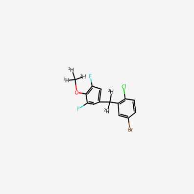 [2H]C([2H])([2H])Oc1c(F)cc(C([2H])([2H])c2cc(Br)ccc2Cl)cc1F